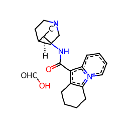 O=C(N[C@@H]1CN2CCC1CC2)c1c2c(n3ccccc13)CCCC2.O=CO